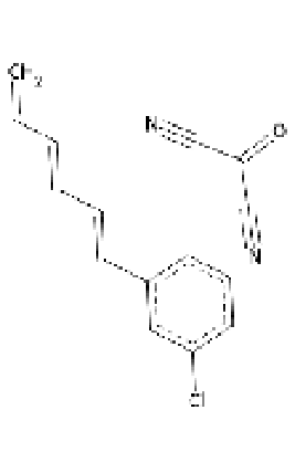 C=CC=CC=Cc1cccc(Cl)c1.N#CC(=O)C#N